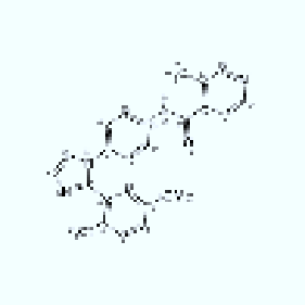 COc1ccc(C(F)(F)F)c(-c2nccn2-c2ccc(NC(=O)c3ccncc3C)cc2)c1